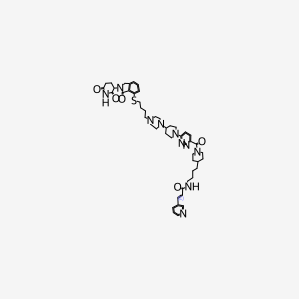 O=C(/C=C/c1cccnc1)NCCCCC1CCN(C(=O)c2ccc(N3CCC(N4CCN(CCCCSc5cccc6c5C(=O)N(C5CCC(=O)NC5=O)C6)CC4)CC3)nn2)CC1